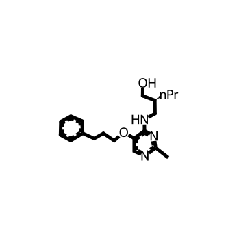 CCC[C@@H](CO)CNc1nc(C)ncc1OCCCc1ccccc1